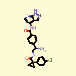 NC(CNC(=O)C1(c2ccc(Cl)cc2)CC1)c1ccc(C(=O)Nc2ccnc3[nH]ncc23)cc1